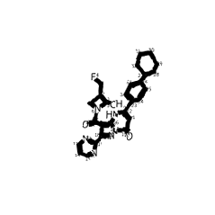 CC1C(CF)CN1C(=O)c1c(-c2ncccn2)nn2c(=O)cc(-c3ccc(C4CCCCC4)cc3)[nH]c12